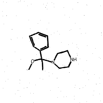 [CH2]OC(C)(c1ccccc1)N1CCNCC1